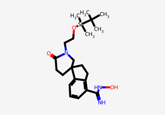 CC(C)(C)[Si](C)(C)OCCN1CC2(CCC1=O)CCc1c(C(=N)NO)cccc12